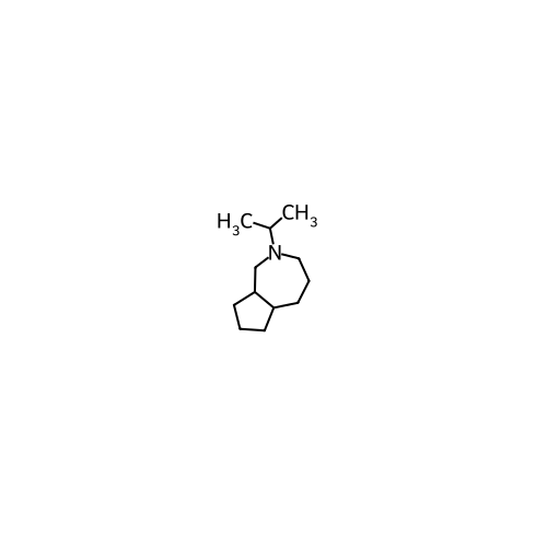 CC(C)N1CCCC2CCCC2C1